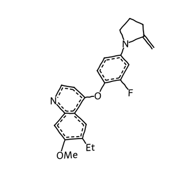 C=C1CCCN1c1ccc(Oc2ccnc3cc(OC)c(CC)cc23)c(F)c1